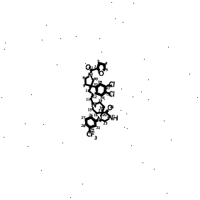 O=C(c1ccco1)N1CCC(CCCN2CCC3(CC2)C(=O)NCN3c2cccc(C(F)(F)F)c2)(c2ccc(Cl)c(Cl)c2)C1